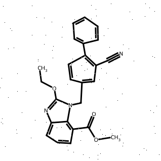 CCOc1nc2cccc(C(=O)OC)c2n1Cc1ccc(-c2ccccc2)c(C#N)c1